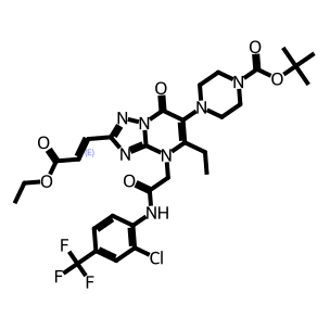 CCOC(=O)/C=C/c1nc2n(CC(=O)Nc3ccc(C(F)(F)F)cc3Cl)c(CC)c(N3CCN(C(=O)OC(C)(C)C)CC3)c(=O)n2n1